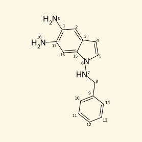 Nc1cc2ccn(NCc3ccccc3)c2cc1N